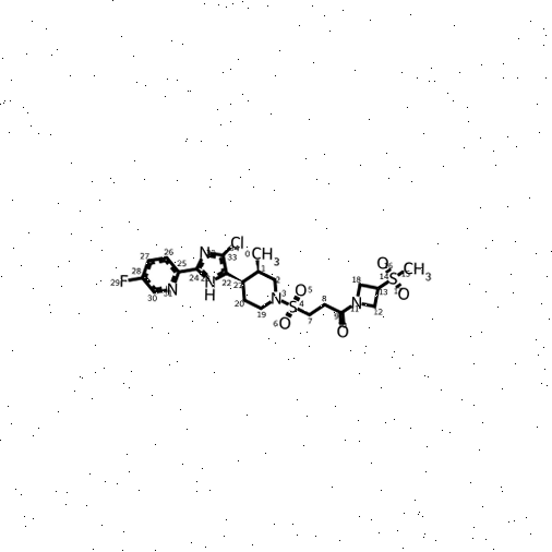 C[C@H]1CN(S(=O)(=O)CCC(=O)N2CC(S(C)(=O)=O)C2)CC[C@H]1c1[nH]c(-c2ccc(F)cn2)nc1Cl